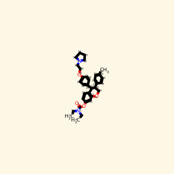 CCN(CC)C(=O)Oc1ccc2c(c1)OCC(c1ccc(C)cc1)C2c1ccc(OCCN2CCCC2)cc1